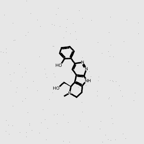 CN1CCc2[nH]c3nnc(-c4ccccc4O)cc3c2[C@@H]1CO